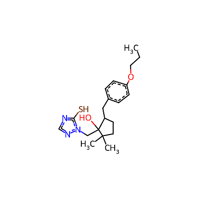 CCCOc1ccc(CC2CCC(C)(C)C2(O)Cn2ncnc2S)cc1